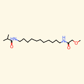 COCC(=O)NCCCCCCCCCCCNC(=O)C(C)C